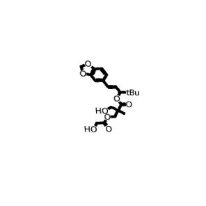 CC(CO)(COC(=O)CO)C(=O)OC(/C=C/c1ccc2c(c1)OCO2)C(C)(C)C